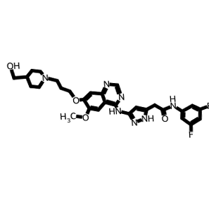 COc1cc2c(Nc3cc(CC(=O)Nc4cc(F)cc(F)c4)[nH]n3)ncnc2cc1OCCCN1CCC(CO)CC1